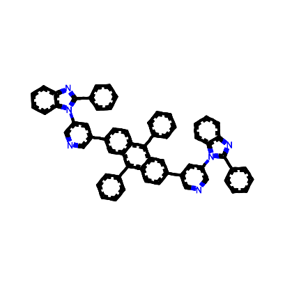 c1ccc(-c2c3ccc(-c4cncc(-n5c(-c6ccccc6)nc6ccccc65)c4)cc3c(-c3ccccc3)c3ccc(-c4cncc(-n5c(-c6ccccc6)nc6ccccc65)c4)cc23)cc1